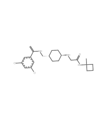 C=C(NC[C@H]1CC[C@H](NCC(=O)NC2(C)CCC2)CC1)c1cc(Cl)cc(Cl)c1